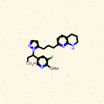 COc1ncc(C(CC(=O)O)n2nccc2CCCc2ccc3c(n2)NCCC3)cc1F